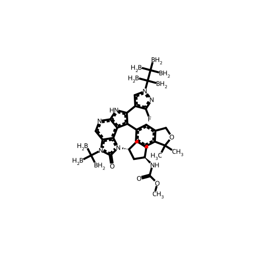 BC(B)(B)n1c(=O)n([C@@H]2CC[C@@H](NC(=O)OC)C2)c2c3c(-c4ccc5c(c4)COC5(C)C)c(-c4cn(C(B)(B)C(B)(B)B)nc4F)[nH]c3ncc21